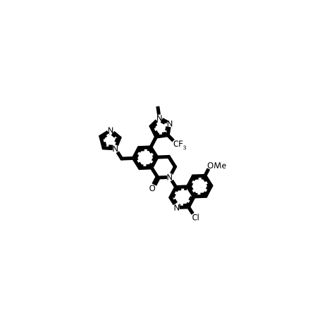 COc1ccc2c(Cl)ncc(N3CCc4c(cc(Cn5ccnc5)cc4-c4cn(C)nc4C(F)(F)F)C3=O)c2c1